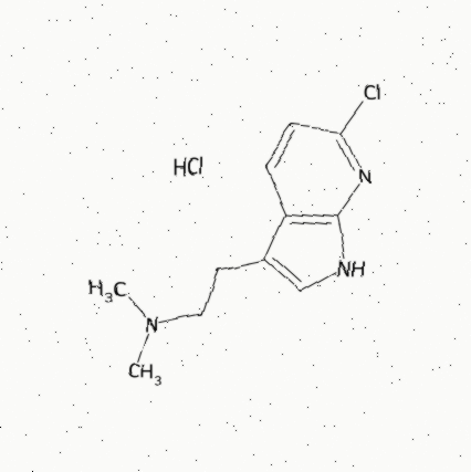 CN(C)CCc1c[nH]c2nc(Cl)ccc12.Cl